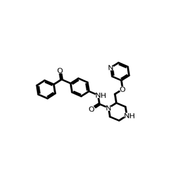 O=C(c1ccccc1)c1ccc(NC(=O)N2CCNCC2COc2cccnc2)cc1